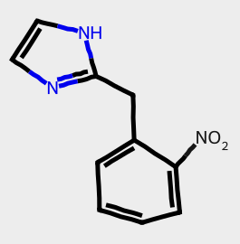 O=[N+]([O-])c1ccccc1Cc1ncc[nH]1